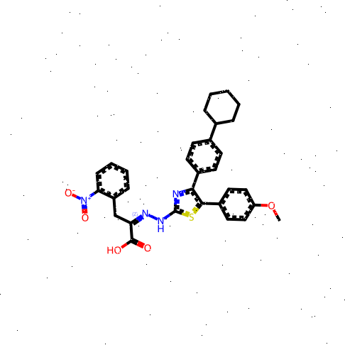 COc1ccc(-c2sc(N/N=C(/Cc3ccccc3[N+](=O)[O-])C(=O)O)nc2-c2ccc(C3CCCCC3)cc2)cc1